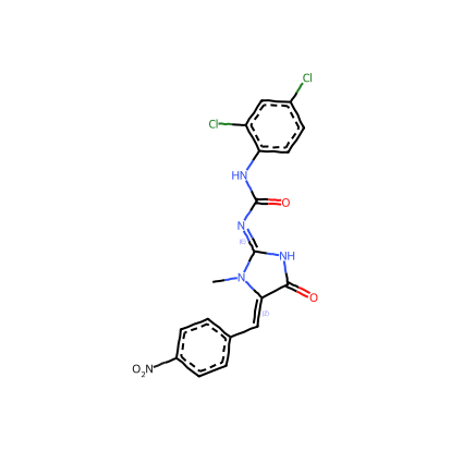 CN1/C(=C\c2ccc([N+](=O)[O-])cc2)C(=O)N/C1=N\C(=O)Nc1ccc(Cl)cc1Cl